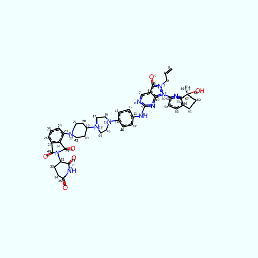 C=CCn1c(=O)c2cnc(Nc3ccc(N4CCN(C5CCN(c6cccc7c6C(=O)N(C6CCC(=O)NC6=O)C7=O)CC5)CC4)cc3)nc2n1-c1ccc2c(n1)[C@@](O)(CC)CC2